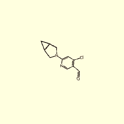 O=Cc1cnc(N2CC3CC3C2)cc1Cl